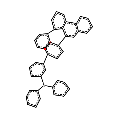 c1ccc(-c2cccc3c2c(-c2ccc(-c4cccc(N(c5ccccc5)c5ccccc5)c4)cc2)cc2ccccc23)cc1